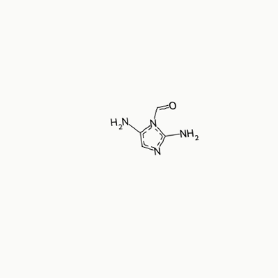 Nc1cnc(N)n1C=O